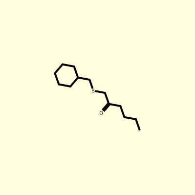 CCCCC(=O)CSCC1CCCCC1